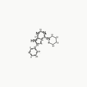 c1ccc(-c2cc3c(N4CCCCC4)ncnc3[nH]2)cc1